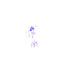 Cn1cnc(Nc2c(Nc3ccc(-c4noc(C(F)(F)Cl)n4)cc3)c(=O)c2=O)n1